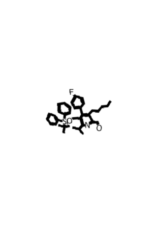 CCCCCc1c(C=O)nc(C(C)C)c(CO[Si](c2ccccc2)(c2ccccc2)C(C)(C)C)c1-c1ccc(F)cc1